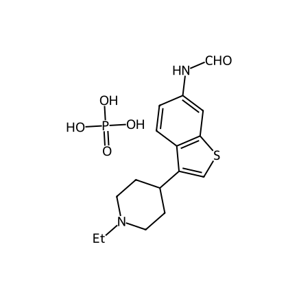 CCN1CCC(c2csc3cc(NC=O)ccc23)CC1.O=P(O)(O)O